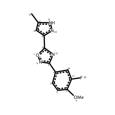 COc1ccc(-c2noc(-c3cc(C)[nH]n3)n2)cc1F